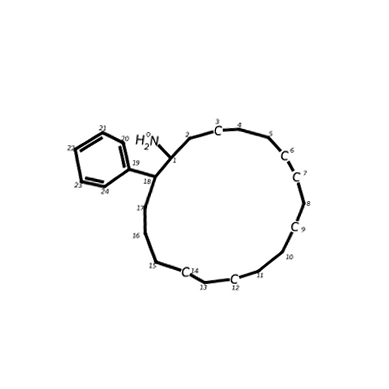 NC1CCCCCCCCCCCCCCCCC1c1ccccc1